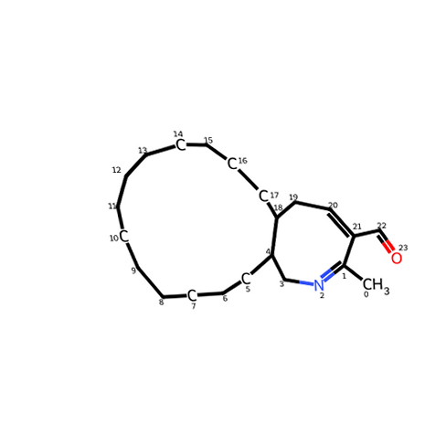 CC1=N/CC2CCCCCCCCCCCCCC2C/C=C\1C=O